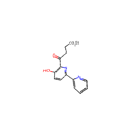 CCOC(=O)CCC(=O)c1nc(-c2ccccn2)ccc1O